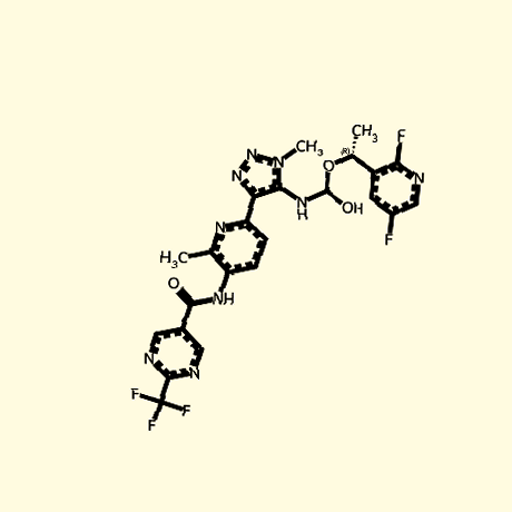 Cc1nc(-c2nnn(C)c2NC(O)O[C@H](C)c2cc(F)cnc2F)ccc1NC(=O)c1cnc(C(F)(F)F)nc1